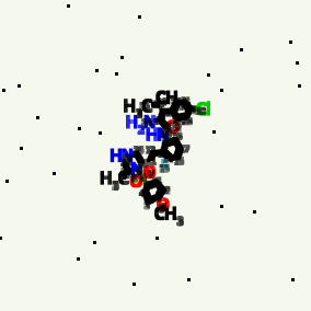 COc1ccc(S(=O)(=O)N2[C@@H](CCc3c(F)cccc3NC(=O)[C@@H](N)[C@@H](c3ccc(Cl)cc3)C(C)C)CNC[C@@H]2C)cc1